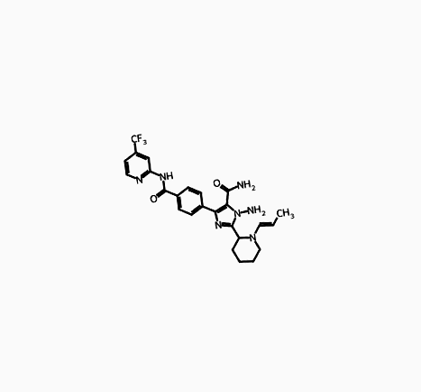 CC=CN1CCCCC1c1nc(-c2ccc(C(=O)Nc3cc(C(F)(F)F)ccn3)cc2)c(C(N)=O)n1N